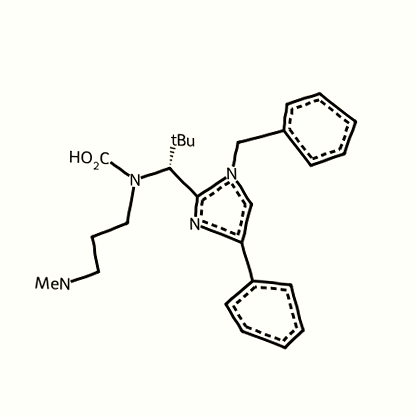 CNCCCN(C(=O)O)[C@@H](c1nc(-c2ccccc2)cn1Cc1ccccc1)C(C)(C)C